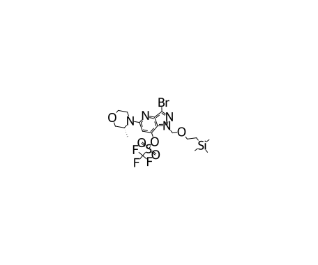 C[C@@H]1COCCN1c1cc(OS(=O)(=O)C(F)(F)F)c2c(n1)c(Br)nn2COCC[Si](C)(C)C